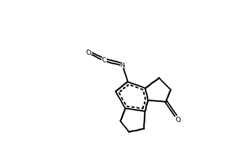 O=C=Nc1cc2c(c3c1CCC3=O)CCC2